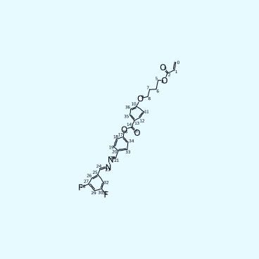 C=CC(=O)OCCCCOc1ccc(C(=O)Oc2ccc(/C=N/N=C/c3cc(F)cc(F)c3)cc2)cc1